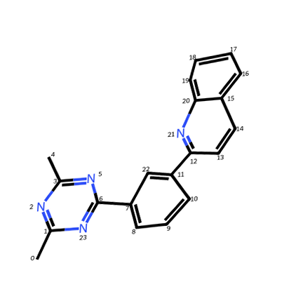 Cc1nc(C)nc(-c2cccc(-c3ccc4ccccc4n3)c2)n1